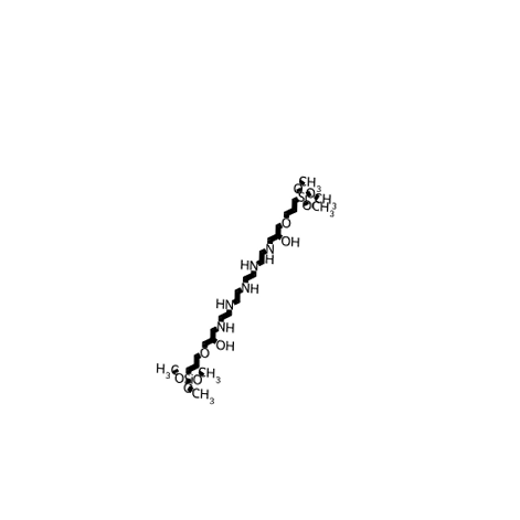 CO[Si](CCCOCC(O)CNCCNCCNCCNCCNCC(O)COCCC[Si](OC)(OC)OC)(OC)OC